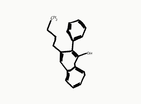 CCCCc1cc2ccccc2c(O)c1-c1ccccc1